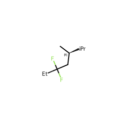 CCC(F)(F)C[C@@H](C)C(C)C